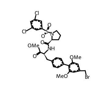 COC(=O)[C@H](Cc1ccc(-c2c(OC)cc(CBr)cc2OC)cc1)NC(=O)[C@@H]1CCCN1S(=O)(=O)c1cc(Cl)cc(Cl)c1